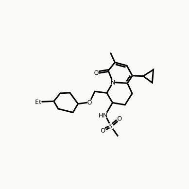 CCC1CCC(OCC2C(NS(C)(=O)=O)CCc3c(C4CC4)cc(C)c(=O)n32)CC1